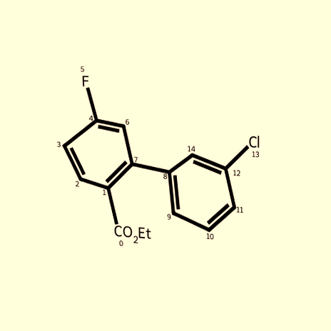 CCOC(=O)c1ccc(F)cc1-c1cccc(Cl)c1